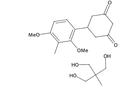 CC(CO)(CO)CO.COc1ccc(C2CC(=O)CC(=O)C2)c(OC)c1C